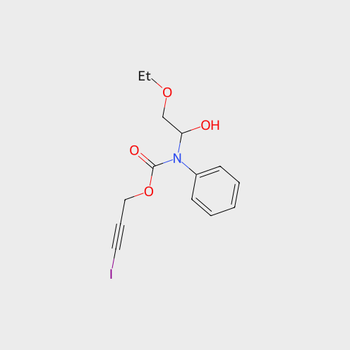 CCOCC(O)N(C(=O)OCC#CI)c1ccccc1